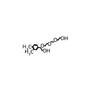 Cc1ccc(C(CO)OCCOCCOCCO)cc1C